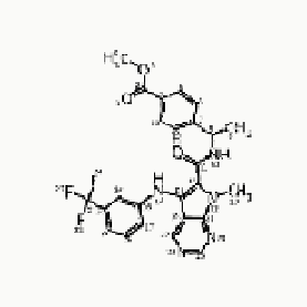 COC(=O)c1ccc(C(C)NC(=O)c2c(Nc3cccc(C(F)(F)F)c3)c3cncnc3n2C)cc1